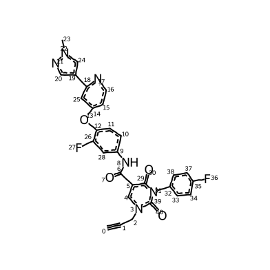 C#CCn1cc(C(=O)Nc2ccc(Oc3ccnc(-c4cnn(C)c4)c3)c(F)c2)c(=O)n(-c2ccc(F)cc2)c1=O